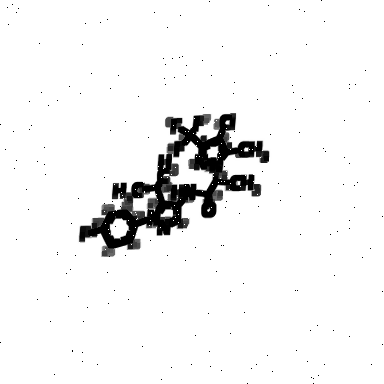 Cc1c(Cl)c(C(F)(F)F)nn1C(C)C(=O)Nc1cnn(-c2ccc(F)cc2)c1C(C)C